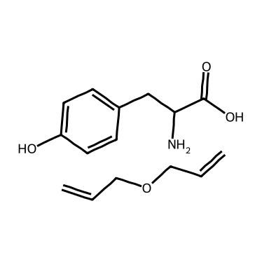 C=CCOCC=C.NC(Cc1ccc(O)cc1)C(=O)O